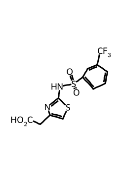 O=C(O)Cc1csc(NS(=O)(=O)c2cccc(C(F)(F)F)c2)n1